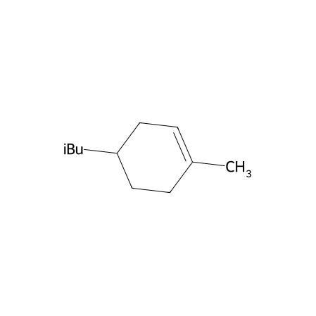 CCC(C)C1CC=C(C)CC1